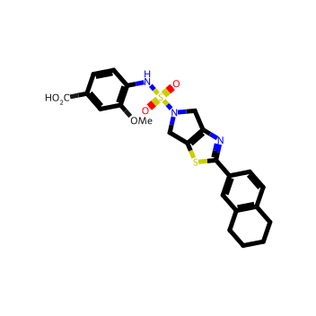 COc1cc(C(=O)O)ccc1NS(=O)(=O)N1Cc2nc(-c3ccc4c(c3)CCCC4)sc2C1